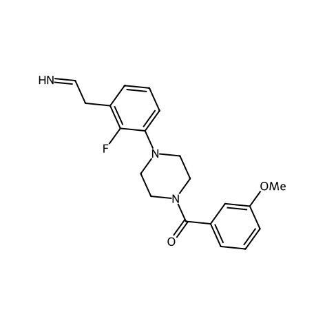 COc1cccc(C(=O)N2CCN(c3cccc(CC=N)c3F)CC2)c1